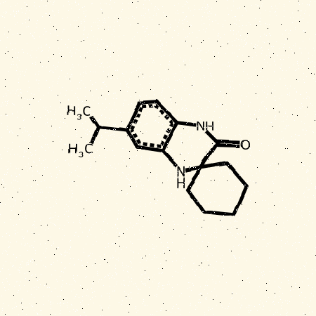 CC(C)c1ccc2c(c1)NC1(CCCCC1)C(=O)N2